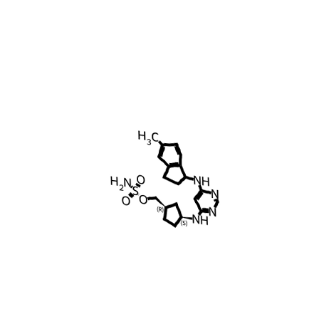 Cc1ccc2c(c1)CCC2Nc1cc(N[C@H]2CC[C@@H](COS(N)(=O)=O)C2)ncn1